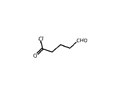 O=CCCCC(=O)Cl